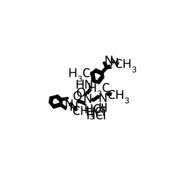 Cc1cc(-c2cnn(C)c2)ccc1NCC(=O)N(CCNC(C)C)CC(=O)N(C)N1Cc2ccccc2C1.Cl.Cl.Cl